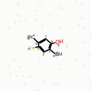 CCC(C)c1cc(F)c(C(C)C)cc1O